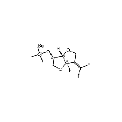 CC(C)(C)[Si](C)(C)O[C@@H]1CO[C@@H]2C(=C(F)F)CO[C@H]21